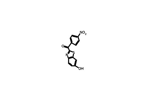 O=C(c1ccc([N+](=O)[O-])cc1)c1nc2ccc(O)cc2s1